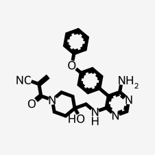 C=C(C#N)C(=O)N1CCC(O)(CNc2ncnc(N)c2-c2ccc(Oc3ccccc3)cc2)CC1